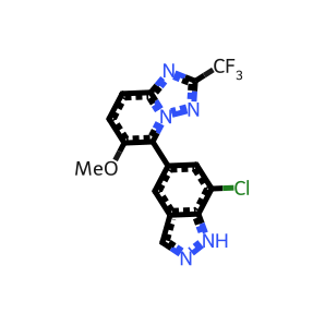 COc1ccc2nc(C(F)(F)F)nn2c1-c1cc(Cl)c2[nH]ncc2c1